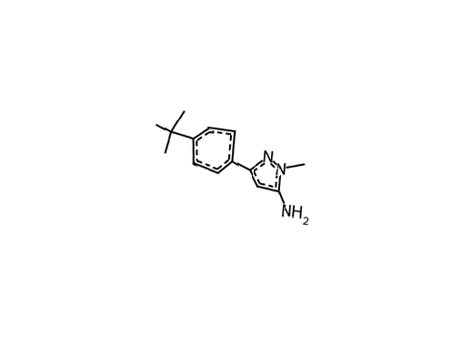 Cn1nc(-c2ccc(C(C)(C)C)cc2)cc1N